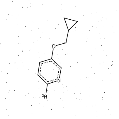 [2H]c1ccc(OCC2CC2)cn1